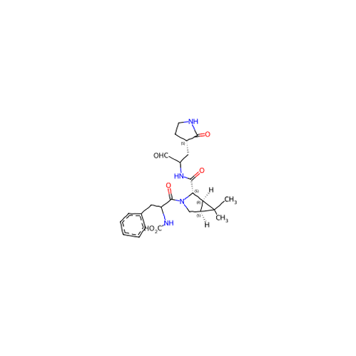 CC1(C)[C@@H]2[C@@H](C(=O)NC(C=O)C[C@@H]3CCNC3=O)N(C(=O)C(Cc3ccccc3)NC(=O)O)C[C@@H]21